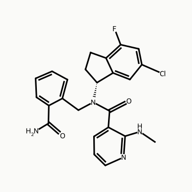 CNc1ncccc1C(=O)N(Cc1ccccc1C(N)=O)[C@@H]1CCc2c(F)cc(Cl)cc21